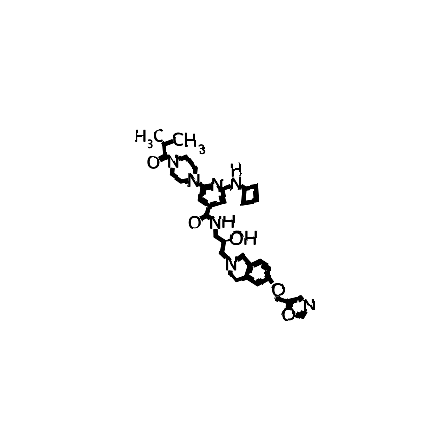 CC(C)C(=O)N1CCN(c2cc(C(=O)NC[C@H](O)CN3CCc4cc(OCc5cnco5)ccc4C3)cc(NC3CCC3)n2)CC1